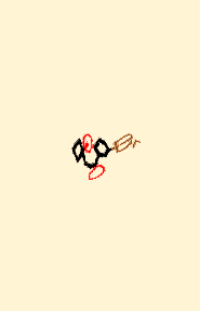 O=C1CC2(CCC2)Oc2ccc(Br)cc21